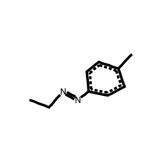 CCN=Nc1ccc(C)cc1